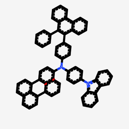 c1ccc(-c2c(-c3ccc(N(c4ccc(-c5cccc6cccc(-c7ccccc7)c56)cc4)c4ccc(-n5c6ccccc6c6ccccc65)cc4)cc3)c3ccccc3c3ccccc23)cc1